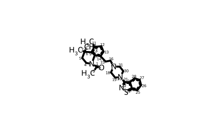 CC(=O)N1CCC(C)(C)c2c(C)ccc(CCN3CCN(c4nsc5ccccc45)CC3)c21